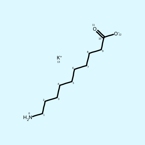 NCCCCCCCCCC(=O)[O-].[K+]